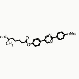 CCCCCCCCCc1ccc(-c2ncc(-c3ccc(OC(=O)CCCCC(C)CCCCC)cc3)cn2)cc1